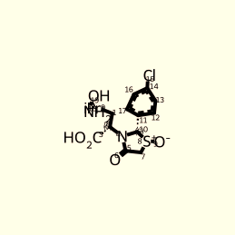 CC(C)C[C@@H](C(=O)O)N1C(=O)C[S+]([O-])[C@H]1c1ccc(Cl)cc1.NO